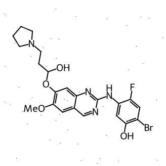 COc1cc2cnc(Nc3cc(O)c(Br)cc3F)nc2cc1OC(O)CCN1CCCC1